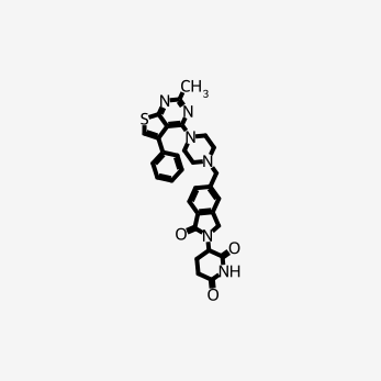 Cc1nc(N2CCN(Cc3ccc4c(c3)CN(C3CCC(=O)NC3=O)C4=O)CC2)c2c(-c3ccccc3)csc2n1